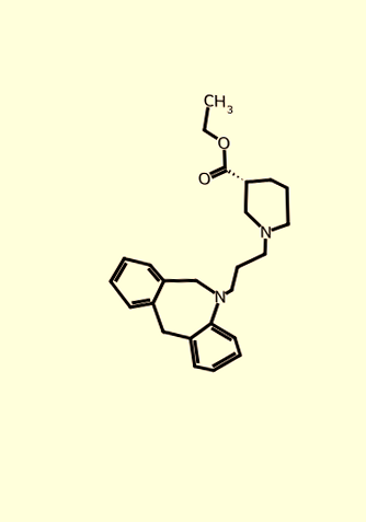 CCOC(=O)[C@@H]1CCCN(CCCN2Cc3ccccc3Cc3ccccc32)C1